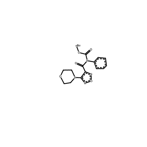 CCCCOC(=O)N(C(=O)c1nonc1N1CCOCC1)c1ccccc1